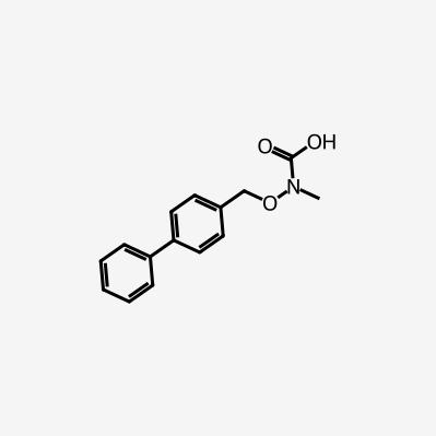 CN(OCc1ccc(-c2ccccc2)cc1)C(=O)O